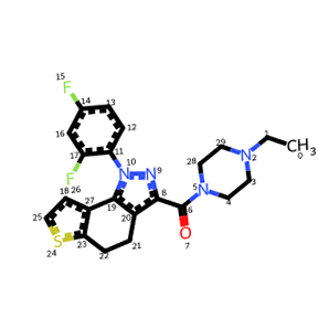 CCN1CCN(C(=O)c2nn(-c3ccc(F)cc3F)c3c2CCc2sccc2-3)CC1